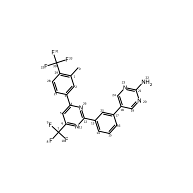 Cc1cc(-c2cc(C(F)(F)F)nc(-c3cccc(-c4cnc(N)nc4)c3)n2)ccc1C(F)(F)F